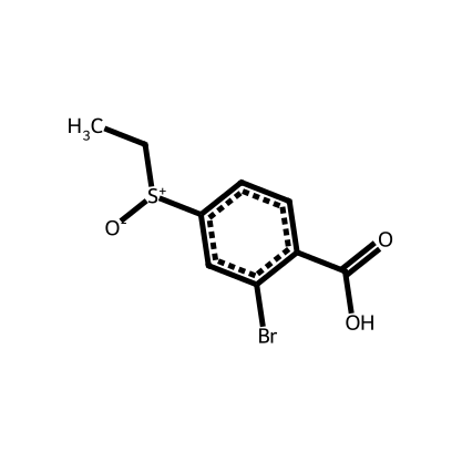 CC[S+]([O-])c1ccc(C(=O)O)c(Br)c1